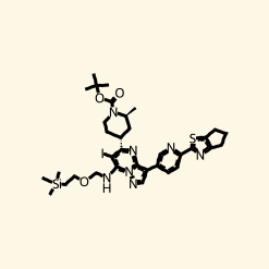 C[C@H]1C[C@H](c2nc3c(-c4ccc(-c5nc6c(s5)CCC6)nc4)cnn3c(NCOCC[Si](C)(C)C)c2I)CCN1C(=O)OC(C)(C)C